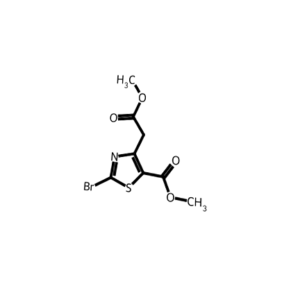 COC(=O)Cc1nc(Br)sc1C(=O)OC